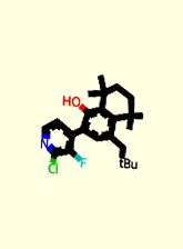 CC(C)(C)Cc1cc(-c2ccnc(Cl)c2F)c(O)c2c1C(C)(C)CCC2(C)C